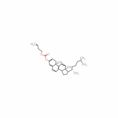 C=CCCOC(=O)OC1=CC[C@@]2(C)C(=C1)C=CC1=C2C=C[C@@]2(C)C1CCC2[C@@H](C)CCCC(C)C